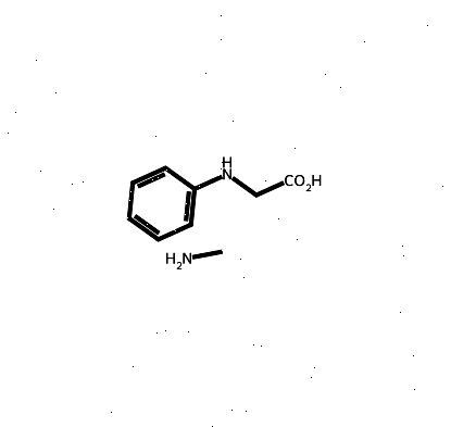 CN.O=C(O)CNc1ccccc1